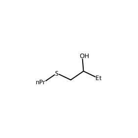 CCCSCC(O)CC